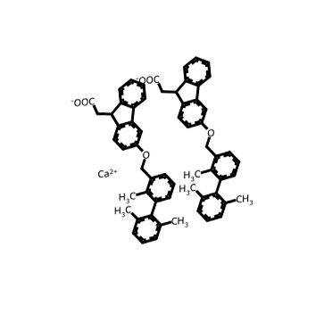 Cc1cccc(C)c1-c1cccc(COc2ccc3c(c2)-c2ccccc2C3CC(=O)[O-])c1C.Cc1cccc(C)c1-c1cccc(COc2ccc3c(c2)-c2ccccc2C3CC(=O)[O-])c1C.[Ca+2]